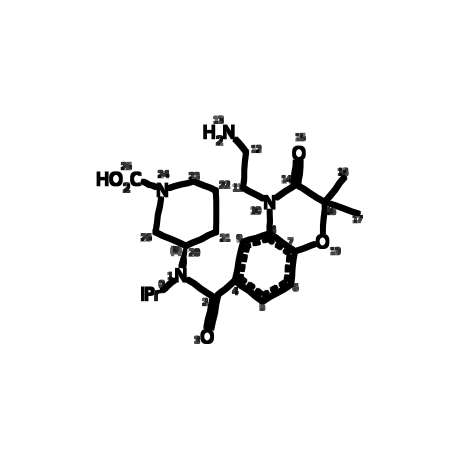 CC(C)N(C(=O)c1ccc2c(c1)N(CCN)C(=O)C(C)(C)O2)[C@@H]1CCCN(C(=O)O)C1